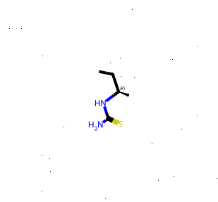 CC[C@@H](C)NC(N)=S